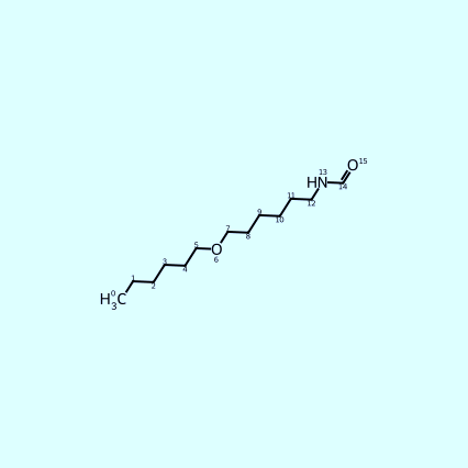 CCCCCCOCCCCCCNC=O